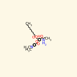 CCCCCCCCCCCC(=O)OCc1cc(C(O)C(N)CC)ccc1OC(=O)c1ccc(N(CC)CC)cc1